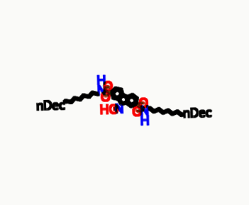 CCCCCCCCCCCCCCCCCCNS(=O)(=O)c1ccc2c(c1)C(=NO)c1cc(S(=O)(=O)NCCCCCCCCCCCCCCCCCC)ccc1-2